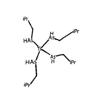 CC(C)C[AsH][Ti]([AsH]CC(C)C)([AsH]CC(C)C)[AsH]CC(C)C